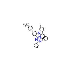 Cc1ccc2c3ccc(C)cc3n(-c3cc(-c4ccc(C(F)(F)F)cc4)ccc3-c3nc(-c4ccccc4)nc(-c4ccccc4)n3)c2c1